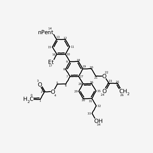 C=CC(=O)OCCc1cc(-c2ccc(CCCCC)cc2CC)cc(CCOC(=O)C=C)c1-c1ccc(CCO)cc1